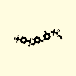 CCOC(=O)C(C)(C)Oc1ccc(Oc2cccc(CN(C)C(=O)c3ccc(C(F)(F)F)cc3)c2)cc1C